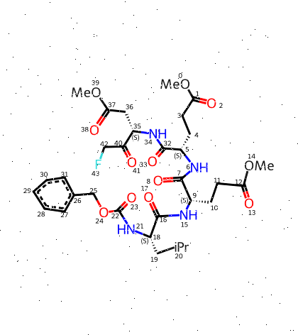 COC(=O)CC[C@H](NC(=O)[C@H](CCC(=O)OC)NC(=O)[C@H](CC(C)C)NC(=O)OCc1ccccc1)C(=O)N[C@@H](CC(=O)OC)C(=O)CF